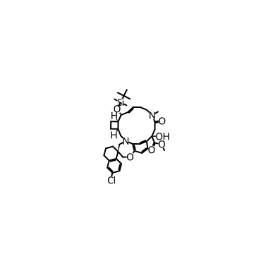 COC(=O)[C@@]1(O)CC(=O)N(C)CC/C=C/[C@H](O[Si](C)(C)C(C)(C)C)[C@@H]2CC[C@H]2CN2C[C@@]3(CCCc4cc(Cl)ccc43)COc3ccc1cc32